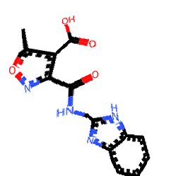 Cc1onc(C(=O)Nc2nc3ccccc3[nH]2)c1C(=O)O